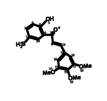 Bc1ccc(O)c(C(=O)/C=C/c2cc(OC)c(OC)c(OC)c2)c1